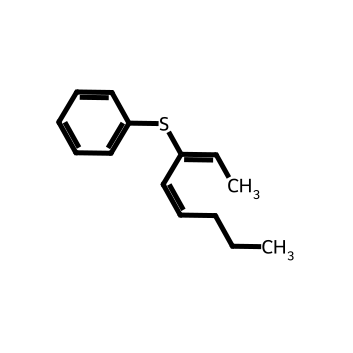 C/C=C(\C=C/CCC)Sc1ccccc1